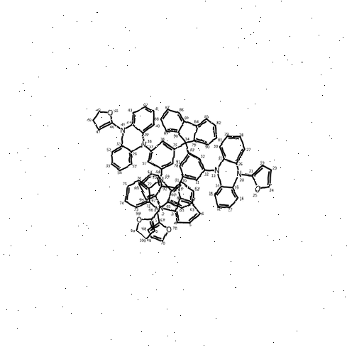 C1=C(N2c3ccccc3N(c3cc(N4c5ccccc5N(c5ccco5)c5ccccc54)cc(C4(c5cc(N6c7ccccc7N(C7=CCCO7)c7ccccc76)cc(N6c7ccccc7N(c7ccco7)c7ccccc76)c5)c5ccccc5-c5ccccc54)c3)c3ccccc32)OCC1